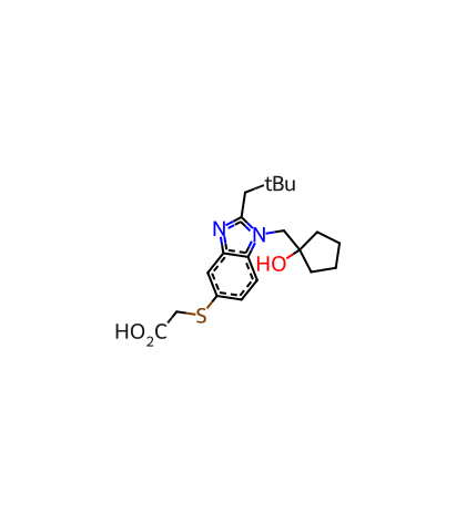 CC(C)(C)Cc1nc2cc(SCC(=O)O)ccc2n1CC1(O)CCCC1